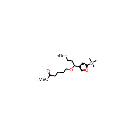 CCCCCCCCCCCCC(OCCCCC(=O)OC)c1coc([Si](C)(C)C)c1